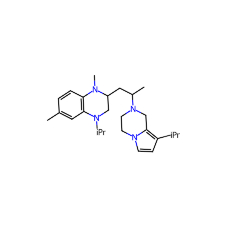 Cc1ccc2c(c1)N(C(C)C)CC(CC(C)N1CCn3ccc(C(C)C)c3C1)N2C